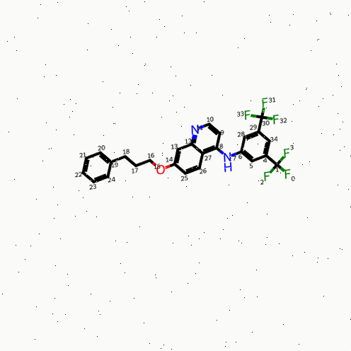 FC(F)(F)c1cc(Nc2ccnc3cc(OCCCc4ccccc4)ccc23)cc(C(F)(F)F)c1